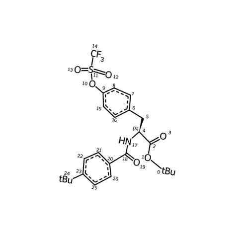 CC(C)(C)OC(=O)[C@H](Cc1ccc(OS(=O)(=O)C(F)(F)F)cc1)NC(=O)c1ccc(C(C)(C)C)cc1